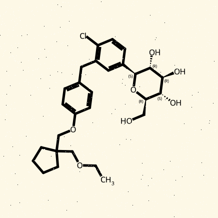 CCOCC1(COc2ccc(Cc3cc([C@@H]4O[C@H](CO)[C@@H](O)[C@H](O)[C@H]4O)ccc3Cl)cc2)CCCC1